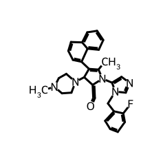 CC1=C(c2cccc3ccccc23)C(N2CCN(C)CC2)C(=C=O)N1c1cncn1Cc1ccccc1F